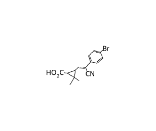 CC1(C)C(/C=C(\C#N)c2ccc(Br)cc2)C1C(=O)O